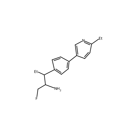 CCc1ccc(-c2ccc(C(CC)C(N)CF)cc2)cn1